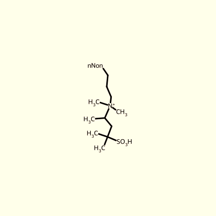 CCCCCCCCCCCC[N+](C)(C)C(C)CC(C)(C)S(=O)(=O)O